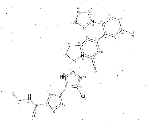 CCNC(=O)c1ccc(-c2[nH]c([C@@H]3CCc4cc(-c5cc(Cl)ccc5-n5cnnn5)cc(=O)n43)nc2Cl)s1